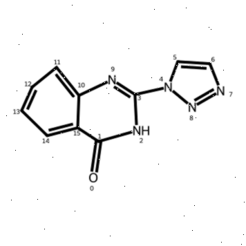 O=c1[nH]c(-n2ccnn2)nc2ccccc12